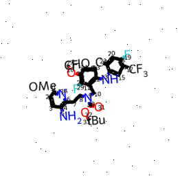 COc1ccc(N)c(CCN(Cc2c(Nc3cc(C(F)(F)F)c(F)cc3C(=O)O)ccc(OC(F)(F)F)c2F)C(=O)OC(C)(C)C)n1